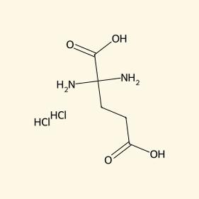 Cl.Cl.NC(N)(CCC(=O)O)C(=O)O